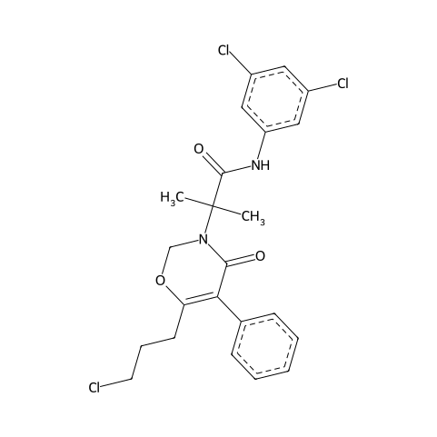 CC(C)(C(=O)Nc1cc(Cl)cc(Cl)c1)N1COC(CCCCl)=C(c2ccccc2)C1=O